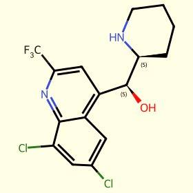 O[C@@H](c1cc(C(F)(F)F)nc2c(Cl)cc(Cl)cc12)[C@@H]1CCCCN1